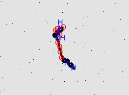 CN(C)c1ccc(-c2ccc3cc(OCCCOCCOCCOCCNc4cccc5c4C(=O)N(C4CCC(=O)NC4=O)C5=O)ccc3n2)cc1